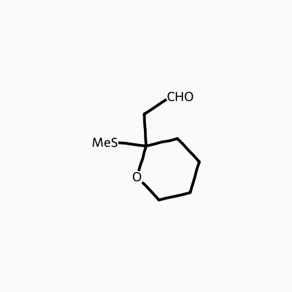 CSC1(CC=O)CCCCO1